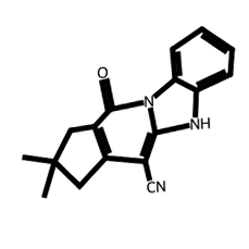 CC1(C)Cc2c(c(=O)n3c([nH]c4ccccc43)c2C#N)C1